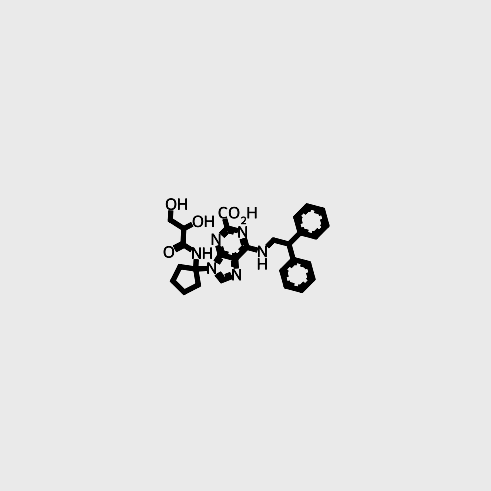 O=C(O)c1nc(NCC(c2ccccc2)c2ccccc2)c2ncn(C3(NC(=O)C(O)CO)CCCC3)c2n1